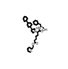 O=C(CCC=C[C@H](C(=O)N[C@H](CO)Cc1ccccc1)n1ccc(-c2ccc(-c3ccccc3)cc2)c1)OCc1ccccc1